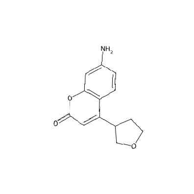 Nc1ccc2c(C3CCOC3)cc(=O)oc2c1